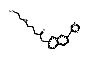 O=C(CCCNCCO)Nc1cc2cc(-c3cncs3)ccc2cn1